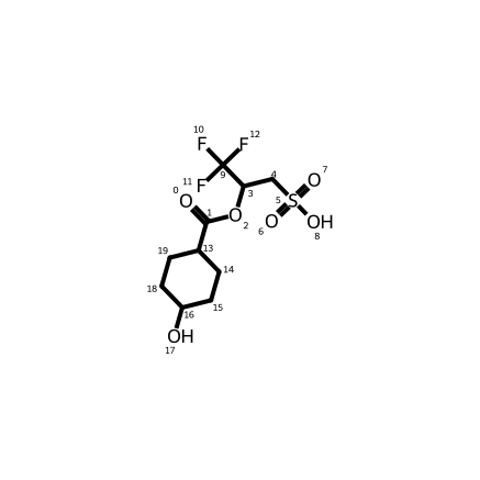 O=C(OC(CS(=O)(=O)O)C(F)(F)F)C1CCC(O)CC1